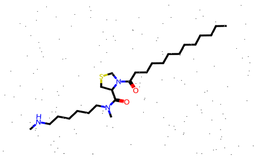 CCCCCCCCCCCCC(=O)N1CSCC1C(=O)N(C)CCCCCCNC